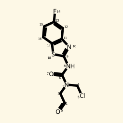 O=CCN(CCl)C(=O)Nc1nc2cc(F)ccc2s1